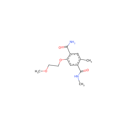 CNC(=O)c1cc(OCCOC)c(C(N)=O)cc1C